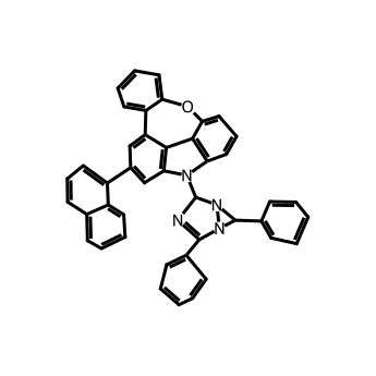 c1ccc(C2=NC(n3c4cccc5oc6ccccc6c6cc(-c7cccc8ccccc78)cc3c6c54)N3C(c4ccccc4)N23)cc1